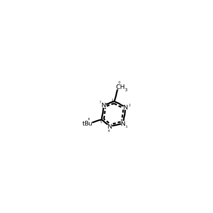 Cc1nnnc(C(C)(C)C)n1